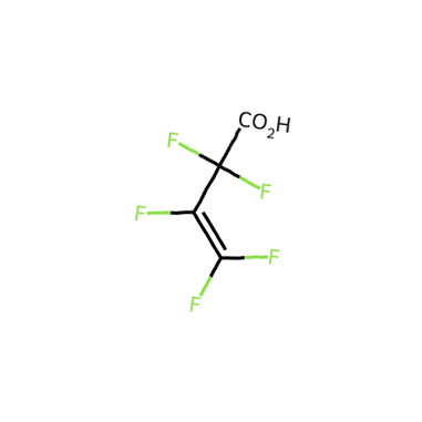 O=C(O)C(F)(F)C(F)=C(F)F